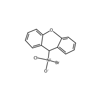 [O-][N+](Cl)(Br)C1c2ccccc2Oc2ccccc21